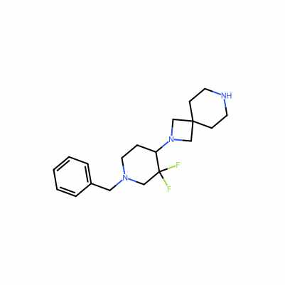 FC1(F)CN(Cc2ccccc2)CCC1N1CC2(CCNCC2)C1